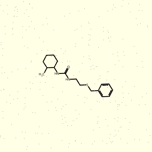 CC1CCCCC1NC(=O)NCCSCc1ccccc1